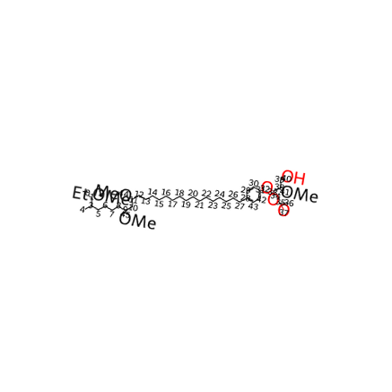 CCC(OC)C(C)CCCCC(CC(CCCCCCCCCCCCCCCCc1ccc(OC(OC2CO2)C(CO)OC)cc1)OC)OC